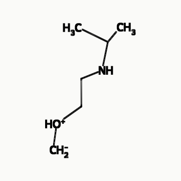 [CH2-][OH+]CCNC(C)C